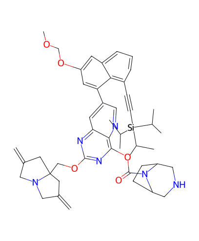 C=C1CN2CC(=C)CC2(COc2nc(OC(=O)N3C4CCC3CNC4)c3ncc(-c4cc(OCOC)cc5cccc(C#C[Si](C(C)C)(C(C)C)C(C)C)c45)cc3n2)C1